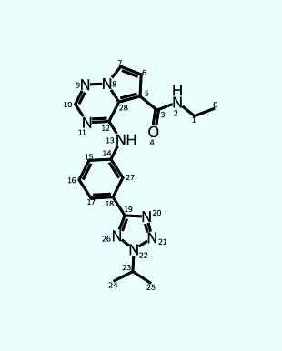 CCNC(=O)c1ccn2ncnc(Nc3cccc(-c4nnn(C(C)C)n4)c3)c12